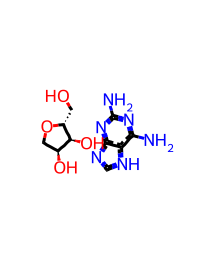 Nc1nc(N)c2[nH]cnc2n1.OC[C@H]1OC[C@H](O)[C@@H]1O